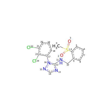 CS(=O)(=O)c1ccccc1CNc1ncnn1-c1cccc(Cl)c1Cl